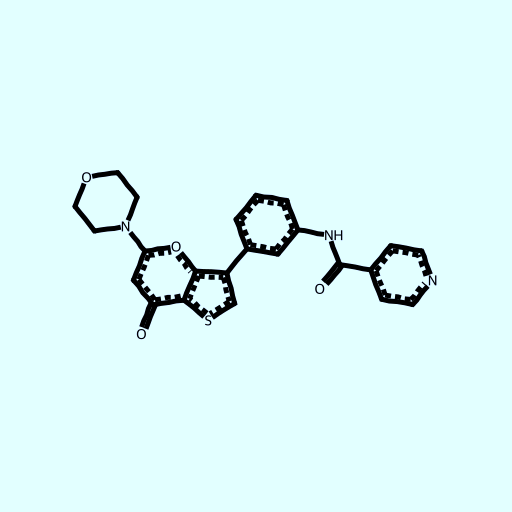 O=C(Nc1cccc(-c2csc3c(=O)cc(N4CCOCC4)oc23)c1)c1ccncc1